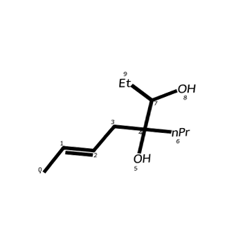 [CH2]C=CCC(O)(CCC)C(O)CC